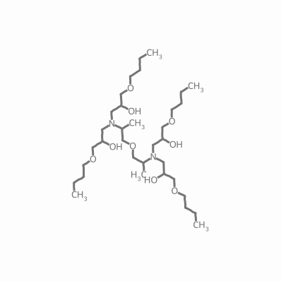 CCCCOCC(O)CN(CC(O)COCCCC)C(C)COCC(C)N(CC(O)COCCCC)CC(O)COCCCC